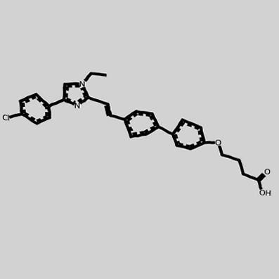 CCn1cc(-c2ccc(Cl)cc2)nc1C=Cc1ccc(-c2ccc(OCCCC(=O)O)cc2)cc1